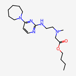 CCCCOC(=O)CN(C)CCNc1nccc(N2CCCCCC2)n1